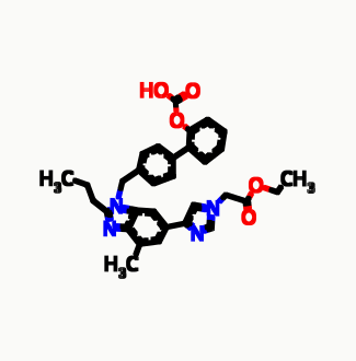 CCCc1nc2c(C)cc(-c3cn(CC(=O)OCC)cn3)cc2n1Cc1ccc(-c2ccccc2OC(=O)O)cc1